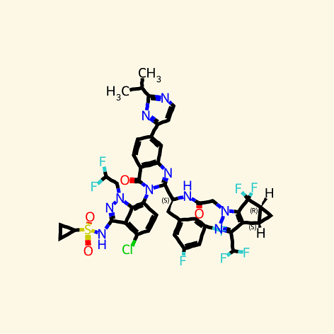 CC(C)c1nccc(-c2ccc3c(=O)n(-c4ccc(Cl)c5c(NS(=O)(=O)C6CC6)nn(CC(F)F)c45)c([C@H](Cc4cc(F)cc(F)c4)NC(=O)Cn4nc(C(F)F)c5c4C(F)(F)[C@@H]4C[C@H]54)nc3c2)n1